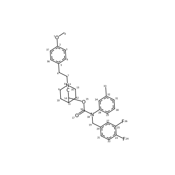 COc1ccc(CC[N+]23CCC(CC2)C(OC(=O)N(Cc2ccc(F)c(F)c2)c2cccc(C)c2)C3)cc1